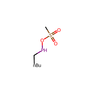 CCCCCPOS(C)(=O)=O